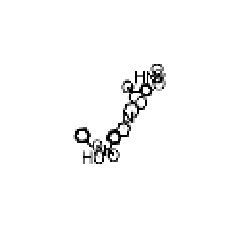 CS(=O)(=O)Nc1ccc2c(c1)C(=O)CC1(CCN([C@@H]3CCc4cc(C(=O)N(O)OCc5ccccc5)ccc4C3)CC1)O2